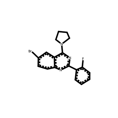 Fc1ccccc1-c1nc(N2CCCC2)c2cc(Br)ccc2n1